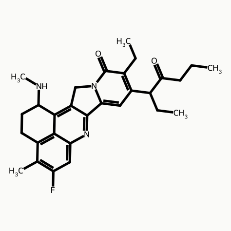 CCCC(=O)C(CC)c1cc2n(c(=O)c1CC)Cc1c-2nc2cc(F)c(C)c3c2c1C(NC)CC3